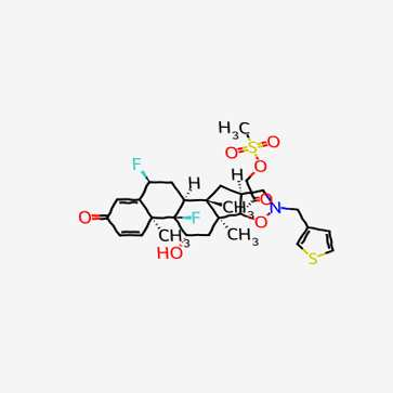 C[C@]12C[C@H](O)[C@@]3(F)[C@@H](C[C@H](F)C4=CC(=O)C=C[C@@]43C)[C@]1(C)C[C@H]1CN(Cc3ccsc3)O[C@]12C(=O)COS(C)(=O)=O